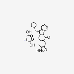 Cc1[nH]cnc1CC1CCc2c(c3ccccc3n2CC2CCCC2)C1=O.O=C(O)/C=C\C(=O)O